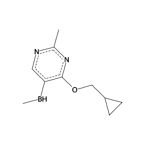 CBc1cnc(C)nc1OCC1CC1